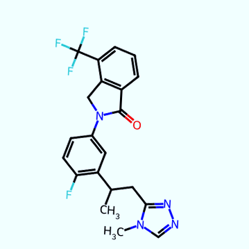 CC(Cc1nncn1C)c1cc(N2Cc3c(cccc3C(F)(F)F)C2=O)ccc1F